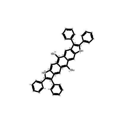 CC(C)(C)c1c2cc3[nH]c(-c4ccccc4)c(-c4ccccc4)c3cc2c(C(C)(C)C)c2cc3[nH]c(-c4ccccc4)c(-c4ccccc4)c3cc12